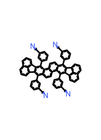 N#Cc1cccc(-c2c3c(c(-c4cccc(C#N)c4)c4c2ccc2c4ccc4c(-c5cccc(C#N)c5)c5c(c(-c6cccc(C#N)c6)c42)-c2cccc4cccc-5c24)-c2cccc4cccc-3c24)c1